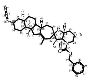 CC1=C2C[C@H]3C(CC[C@@H]4C[C@H](N=[N+]=[N-])CC[C@@]43C)[C@@H]2CC[C@@]2(C1)O[C@@H]1C[C@H](C)CN(C(=O)OCc3ccccc3)[C@H]1[C@H]2C